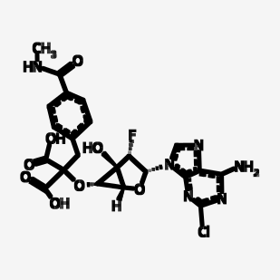 CNC(=O)c1ccc(CC(O[C@H]2[C@H]3O[C@@H](n4cnc5c(N)nc(Cl)nc54)[C@@H](F)[C@]32O)(C(=O)O)C(=O)O)cc1